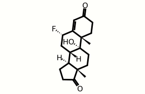 C[C@]12CCC(=O)C=C1[C@@H](F)C[C@H]1[C@@H]3CCC(=O)[C@@]3(C)CC[C@@]12O